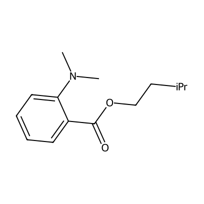 CC(C)CCOC(=O)c1ccccc1N(C)C